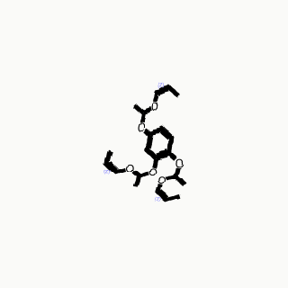 C/C=C\OC(C)Oc1ccc(OC(C)O/C=C\C)c(OC(C)O/C=C\C)c1